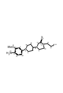 COc1cc(N2CCC(N3CCN(CCF)C(=O)C3)CC2)ccc1N